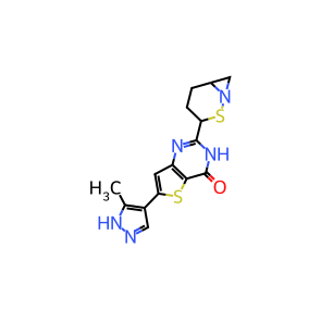 Cc1[nH]ncc1-c1cc2nc(C3CCC4CN4S3)[nH]c(=O)c2s1